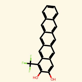 Oc1cc2cc3cc4cc5ccccc5cc4cc3cc2c(C(F)(F)F)c1O